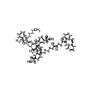 CCCCC[N+]1=C(/C=C/C2=C(Oc3ccc(S(=O)(=O)O)cc3)C(=C/C=C3/N(CCCCCC(=O)NCCC(=O)N4Cc5ccccc5C#Cc5ccccc54)c4ccc(S(=O)(=O)O)cc4C3(C)C)/CCC2)C(C)(C)c2ccccc21